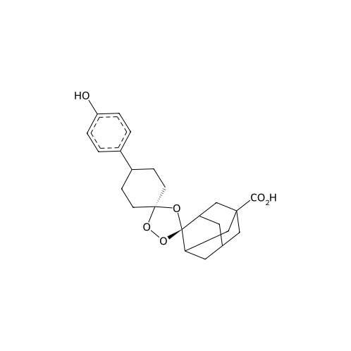 O=C(O)C12CC3CC(C1)[C@]1(OO[C@]4(CCC(c5ccc(O)cc5)CC4)O1)C(C3)C2